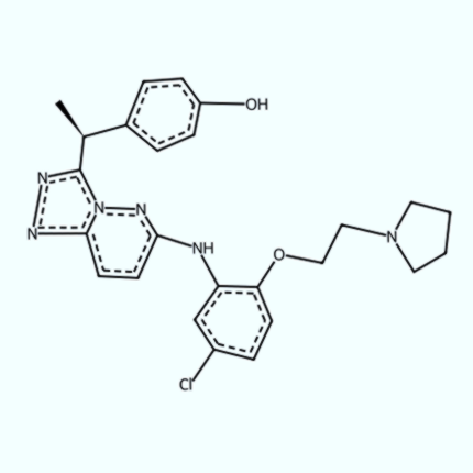 C[C@@H](c1ccc(O)cc1)c1nnc2ccc(Nc3cc(Cl)ccc3OCCN3CCCC3)nn12